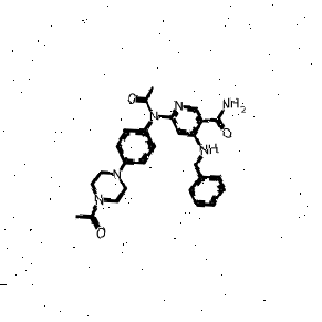 CC(=O)N1CCN(c2ccc(N(C(C)=O)c3cc(NCc4ccccc4)c(C(N)=O)cn3)cc2)CC1